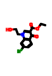 CCOC(=O)c1cn(CCO)c2cc(Br)ccc2c1=O